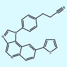 N#CCCc1ccc(-n2cnc3cnc4ccc(-c5cccs5)cc4c32)cc1